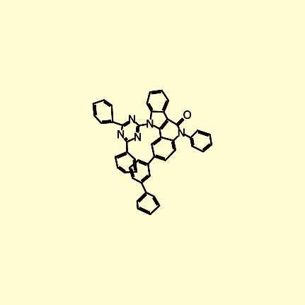 O=c1c2c3ccccc3n(-c3nc(-c4ccccc4)nc(-c4ccccc4)n3)c2c2cc(-c3cccc(-c4ccccc4)c3)ccc2n1-c1ccccc1